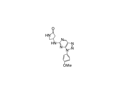 COc1ccc(-n2nnc3cnc(NC4CNC(=O)C4)nc32)cc1